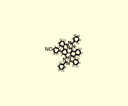 N#Cc1ccc(-c2cc(-c3nc(-c4ccccc4)nc(-c4ccccc4)n3)ccc2-c2ccccc2-c2nc(-c3ccccc3)nc(-c3cccc4ccccc34)n2)cc1